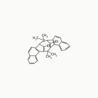 CCC1=C2c3c(ccc4ccccc34)[CH]1[Zr]([CH3])([CH3])[CH]1C(CC)=C(c3c1ccc1ccccc31)C2(C)C